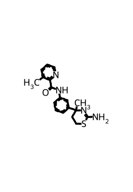 Cc1cccnc1C(=O)Nc1cccc(C2(C)CCSC(N)=N2)c1